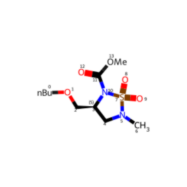 CCCCOC[C@@H]1CN(C)S(=O)(=O)N1C(=O)OC